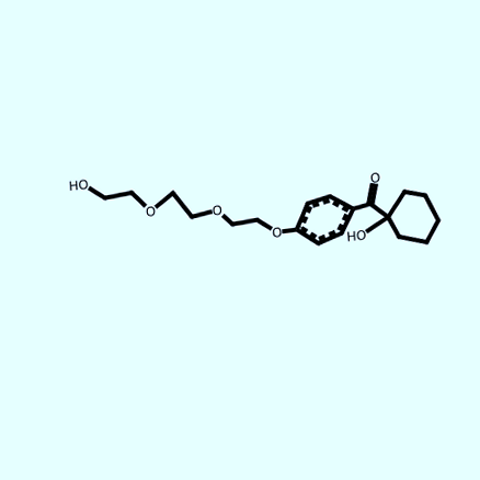 O=C(c1ccc(OCCOCCOCCO)cc1)C1(O)CCCCC1